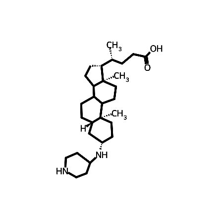 C[C@H](CCC(=O)O)[C@H]1CCC2C3CC[C@H]4C[C@@H](NC5CCNCC5)CC[C@]4(C)C3CC[C@@]21C